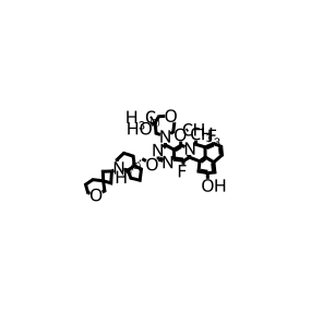 CCc1c(F)ccc2cc(O)cc(-c3nc(OC)c4c(N5CCOC[C@@](C)(O)C5)nc(OC[C@]56CCC[C@H]5N(C5CC7(CCCOC7)C5)CCC6)nc4c3F)c12